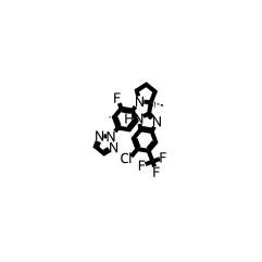 C[C@@]1(c2nc3cc(C(F)(F)F)c(Cl)cc3[nH]2)CCCN1c1ccc(-n2nccn2)[c]c1F